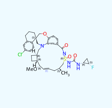 CO[C@H]1/C=C/C[C@H](C)C[S@@](=O)(NC(=O)N[C@@H]2C[C@@H]2F)=NC(=O)c2ccc3c(c2)N(C[C@@H]2CC[C@H]21)C[C@@]1(CCCc2cc(Cl)ccc21)CO3